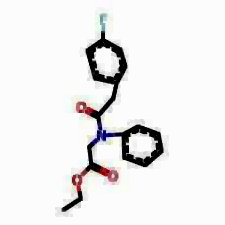 CCOC(=O)CN(C(=O)Cc1ccc(F)cc1)c1ccccc1